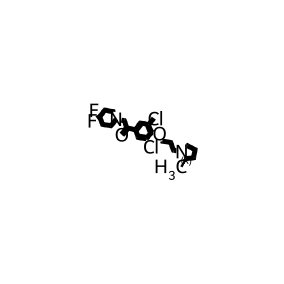 C[C@@H]1CCCN1CCCOc1c(Cl)cc(C(=O)CN2CCC(F)(F)CC2)cc1Cl